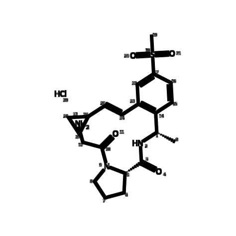 C[C@H](NC(=O)[C@@H]1CCCN1C(=O)CN)c1ccc(S(C)(=O)=O)cc1/C=C/C1CC1.Cl